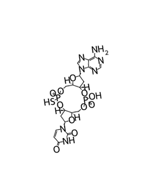 Nc1ncnc2c1ncn2[C@H]1C[C@@H]2OP(=O)(O)OC[C@H]3O[C@@H](n4ccc(=O)[nH]c4=O)C[C@@H]3OP(=O)(S)OC[C@H]2O1